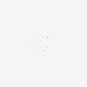 O=C(NCCOC(F)(F)F)O[C@@H]1[C@@H](O)CN[C@@H]1Cc1ccc(C(F)F)cc1